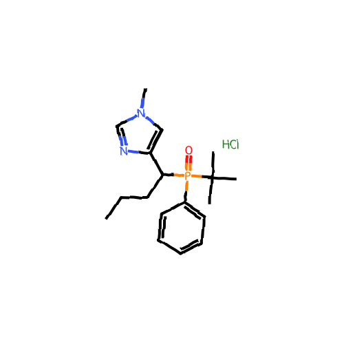 CCCC(c1cn(C)cn1)P(=O)(c1ccccc1)C(C)(C)C.Cl